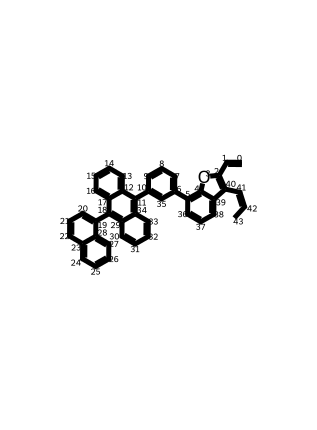 C=Cc1oc2c(-c3cccc(-c4c5ccccc5c(-c5cccc6ccccc56)c5ccccc45)c3)cccc2c1/C=C\C